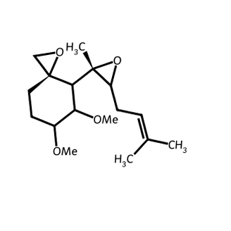 COC1CC[C@]2(CO2)C([C@]2(C)OC2CC=C(C)C)C1OC